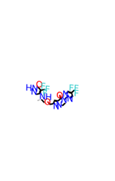 C[C@@H](COCc1cc2n(n1)CCN(c1ncc(C(F)(F)F)cn1)C2=O)Nc1cn[nH]c(=O)c1C(F)(F)F